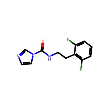 O=C(NCCc1c(F)cccc1F)n1ccnc1